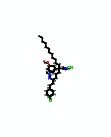 CCCCCCCCCCCCC(C#N)(CCCC(CCc1ccc(Cl)cc1)N=NC)c1cccc(OC)c1.Cl